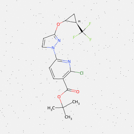 CC(C)(C)OC(=O)c1ccc(-n2ccc(OC3C[C@H]3C(F)(F)F)n2)nc1Cl